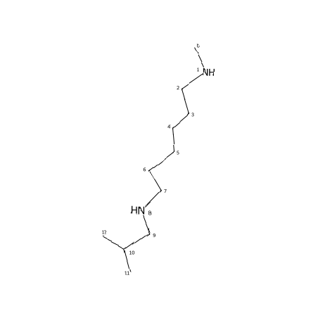 CNCCCCCCNCC(C)C